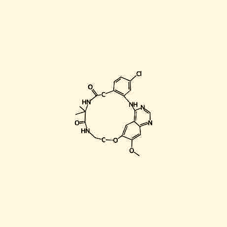 COc1cc2ncnc3c2cc1OCCNC(=O)C(C)(C)NC(=O)Cc1ccc(Cl)cc1N3